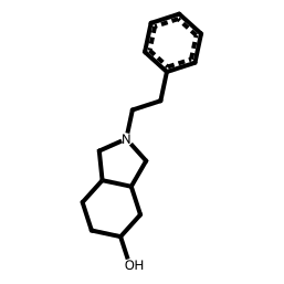 OC1CCC2CN(CCc3ccccc3)CC2C1